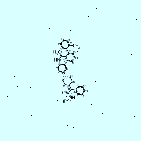 C=C(Nc1ccc(N2CCC(C(C(=O)NCCC)c3ccccc3)CC2)cc1)c1ccccc1-c1ccccc1C(F)(F)F